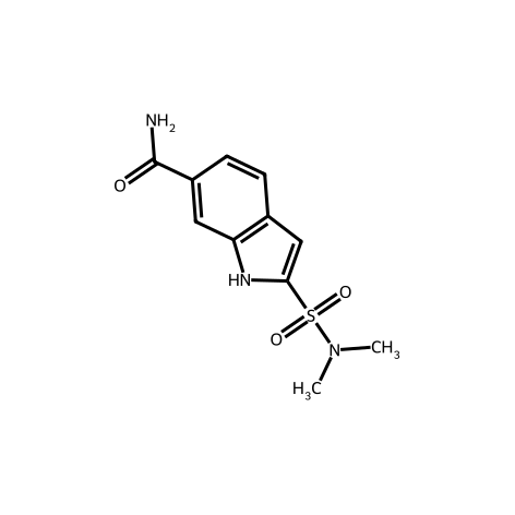 CN(C)S(=O)(=O)c1cc2ccc(C(N)=O)cc2[nH]1